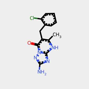 Cc1[nH]c2nc(N)nn2c(=O)c1Cc1ccccc1Cl